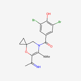 CNC1=C(C(C)=N)OC2(CC2)CN1C(=O)c1cc(Br)c(O)c(Br)c1